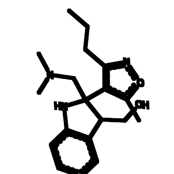 CCCc1noc(C)c1C1(CN(C)C)Nc2ccccc2C1CO